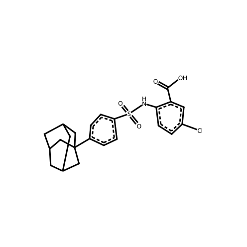 O=C(O)c1cc(Cl)ccc1NS(=O)(=O)c1ccc(C23CC4CC(CC(C4)C2)C3)cc1